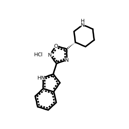 Cl.c1ccc2[nH]c(-c3noc([C@H]4CCCNC4)n3)cc2c1